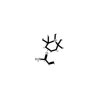 C=CC(N)=O.CN1C(C)(C)C[CH]CC1(C)C